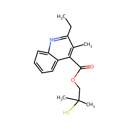 CCc1nc2ccccc2c(C(=O)OCC(C)(C)S)c1C